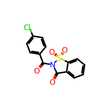 O=C(c1ccc(Cl)cc1)N1C(=O)c2ccccc2S1(=O)=O